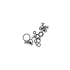 CN1CC(Cn2c(=O)c3cc(S(=O)(=O)NC4(C)CC4)ccc3n(CC3CCCO3)c2=O)C2(CCCCCCCC2)N1